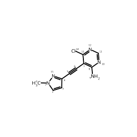 Cn1ccc(C#Cc2c(N)ncnc2Cl)n1